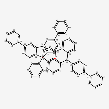 Brc1ccccc1C1(c2cccc(N(c3ccc(-c4ccccc4)cc3)c3ccccc3-c3ccccc3)c2)c2ccc(-c3ccccc3)cc2-c2cc(-c3ccccc3)ccc21